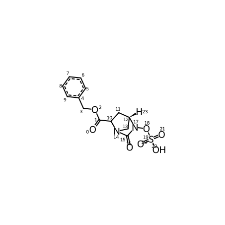 O=C(OCc1ccccc1)C1C[C@H]2CN1C(=O)N2OS(=O)(=O)O